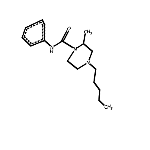 CCCCCN1CCN(C(=O)Nc2ccccc2)C(C)C1